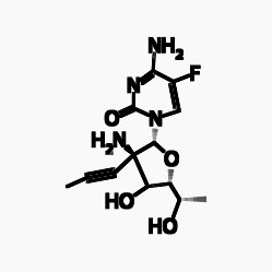 CC#C[C@@]1(N)C(O)[C@@H]([C@H](C)O)O[C@H]1n1cc(F)c(N)nc1=O